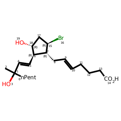 CCCCCC(C)(O)C=C[C@@H]1[C@@H](CC=CCCCC(=O)O)[C@H](Br)C[C@H]1O